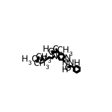 CC(C)(C)ON=CCCN1C(=O)C(C)(C)c2cc3nc(NC(=O)c4ccccc4)[nH]c3cc21